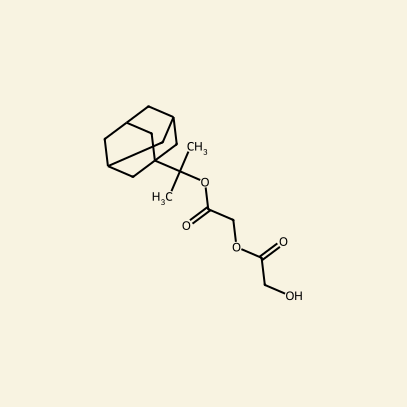 CC(C)(OC(=O)COC(=O)CO)C12CC3CC(CC(C3)C1)C2